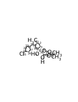 Cc1ccc([C@H](O)C2OC3OC(C)(C)OC3C2O)cc1Cc1ccc(Cl)cc1